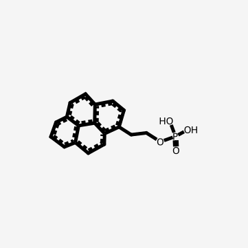 O=P(O)(O)OCCc1ccc2ccc3cccc4ccc1c2c34